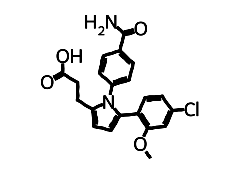 COc1cc(Cl)ccc1-c1ccc(CCC(=O)O)n1-c1ccc(C(N)=O)cc1